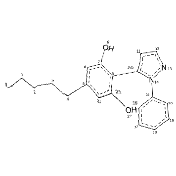 CCCCCc1cc(O)c(-c2ccnn2-c2ccccc2)c(O)c1